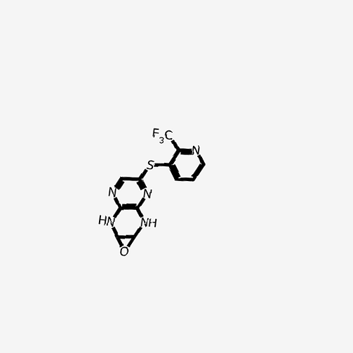 FC(F)(F)c1ncccc1Sc1cnc2c(n1)NC1OC1N2